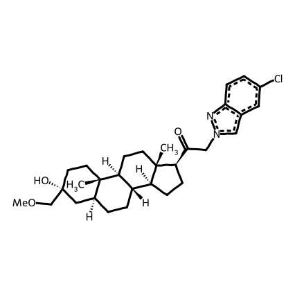 COC[C@@]1(O)CC[C@@]2(C)[C@@H](CC[C@@H]3[C@@H]2CC[C@]2(C)[C@@H](C(=O)Cn4cc5cc(Cl)ccc5n4)CC[C@@H]32)C1